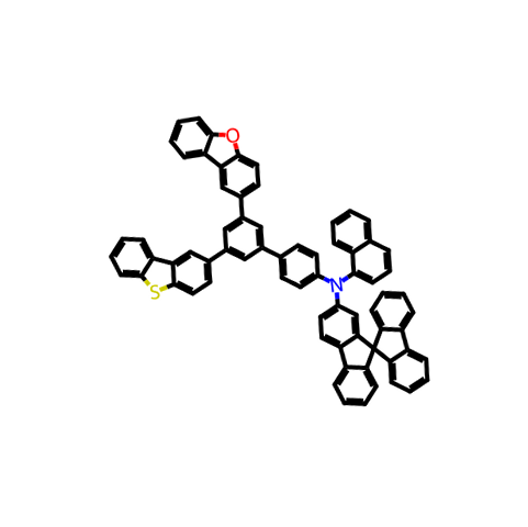 c1ccc2c(c1)-c1ccccc1C21c2ccccc2-c2ccc(N(c3ccc(-c4cc(-c5ccc6oc7ccccc7c6c5)cc(-c5ccc6sc7ccccc7c6c5)c4)cc3)c3cccc4ccccc34)cc21